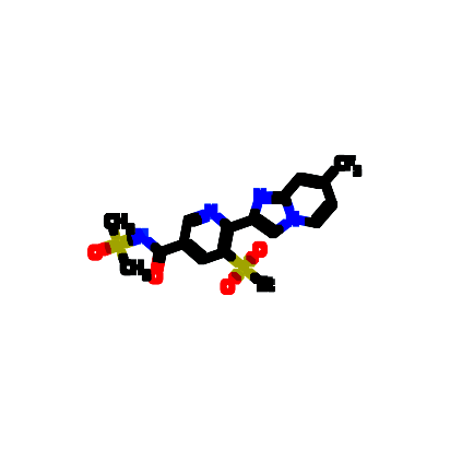 CCS(=O)(=O)c1cc(C(=O)N=S(C)(C)=O)cnc1-c1cn2ccc(C(F)(F)F)cc2n1